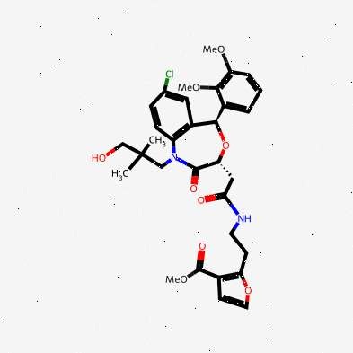 COC(=O)c1ccoc1CCNC(=O)C[C@H]1O[C@H](c2cccc(OC)c2OC)c2cc(Cl)ccc2N(CC(C)(C)CO)C1=O